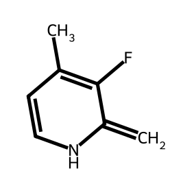 C=C1NC=CC(C)=C1F